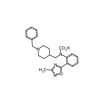 Cc1noc(-c2ccccc2N(CC2CCN(Cc3ccccc3)CC2)C(=O)O)n1